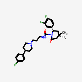 CC1(C)CC(=O)N(C(=O)NCCCN2CCC(c3ccc(F)cc3)CC2)[C@H](c2ccc(F)c(F)c2)C1